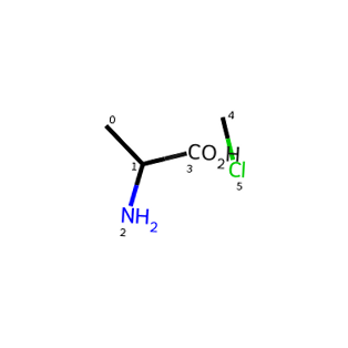 CC(N)C(=O)O.CCl